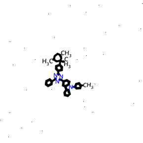 CCC1(c2ccc(-c3nc(-c4ccccc4)nc(-c4ccc5c(c4)c4ccccc4n5-c4ccc(C)cc4)n3)cc2)C[C@H](C)CC[C@H](C)C1